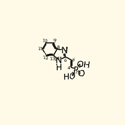 O=P(O)(O)C=Cc1nc2ccccc2[nH]1